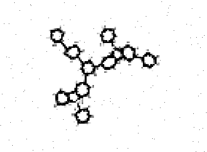 c1ccc(-c2ccc(-c3cc(-c4ccc5c(c4)c4ccccc4n5-c4ccccc4)cc(-c4ccc5c6cc(-c7ccccc7)ccc6n(-c6ccccc6)c5c4)c3)cc2)cc1